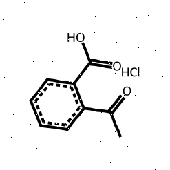 CC(=O)c1ccccc1C(=O)O.Cl